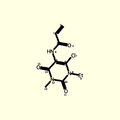 C=CC(=O)Nc1c(Cl)n(CC)c(=O)n(C)c1=O